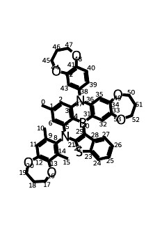 Cc1cc2c3c(c1)N(c1c(C)cc4c(c1C)OCCCO4)c1sc4ccccc4c1B3c1cc3c(cc1N2c1ccc2c(c1)OCCCO2)OCCCO3